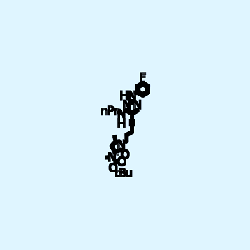 CCCNc1nc(Nc2cccc(F)c2)ncc1C#CCCCN1C(=O)[C@@H](N(C)C(=O)OC(C)(C)C)CC1C